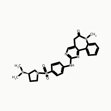 CN1C(=O)Cc2cnc(Nc3ccc(S(=O)(=O)N4CC[C@@H](N(C)C)C4)cc3)nc2-c2ccccc21